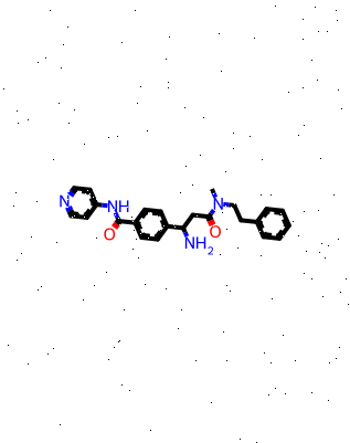 CN(CCc1ccccc1)C(=O)CC(N)c1ccc(C(=O)Nc2ccncc2)cc1